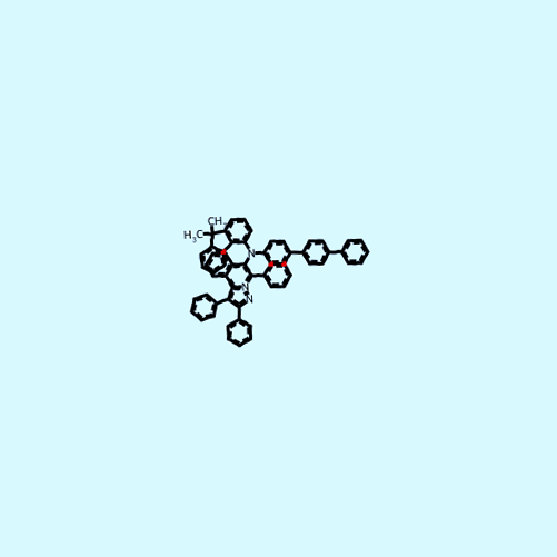 CC1(C)c2ccccc2-c2c(N(c3ccc(-c4ccc(-c5ccccc5)cc4)cc3)c3c(-c4ccccc4)n4nc(-c5ccccc5)c(-c5ccccc5)c4c4ccccc34)cccc21